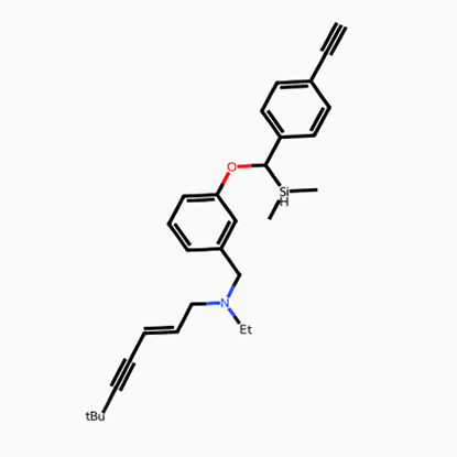 C#Cc1ccc(C(Oc2cccc(CN(CC)C/C=C/C#CC(C)(C)C)c2)[SiH](C)C)cc1